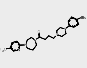 CC(C)(C)c1ccc(N2CCN(CCCC(=O)N3CCCN(c4ccc(C(F)(F)F)cn4)CC3)CC2)cc1